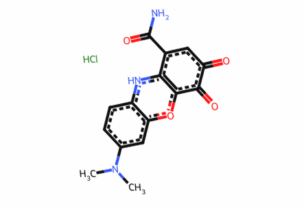 CN(C)c1ccc2[nH]c3c(C(N)=O)cc(=O)c(=O)c=3oc2c1.Cl